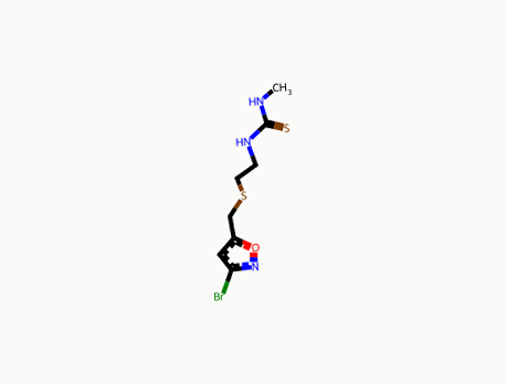 CNC(=S)NCCSCc1cc(Br)no1